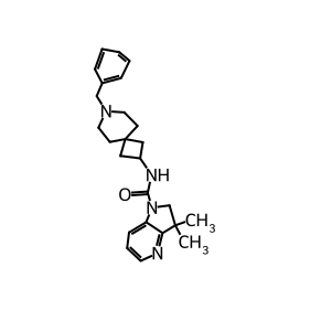 CC1(C)CN(C(=O)NC2CC3(CCN(Cc4ccccc4)CC3)C2)c2cccnc21